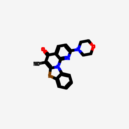 N#Cc1c(=O)c2ccc(N3CCOCC3)nc2n2c1sc1ccccc12